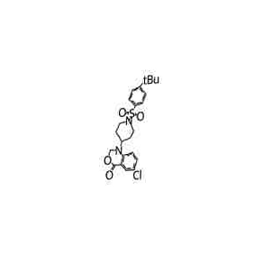 CC(C)(C)c1ccc(S(=O)(=O)N2CCC(N3COC(=O)c4cc(Cl)ccc43)CC2)cc1